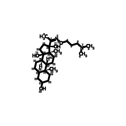 C/C(=N/OCCCN(C)C)[C@@]1(O)CC[C@@]2(O)[C@@H]3CCC4CC(O)CC[C@]4(C)[C@H]3CC[C@@]21C